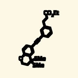 CCOC(=O)CCc1cccc(C#Cc2ccc3c(c2)C(SC)(SC)CCO3)c1